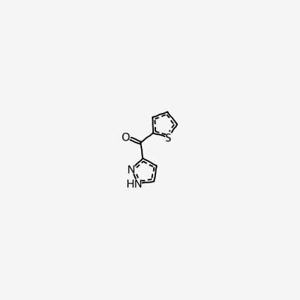 O=C(c1cc[nH]n1)c1cccs1